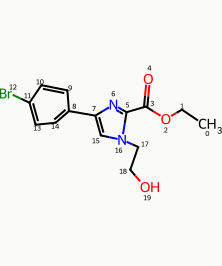 CCOC(=O)c1nc(-c2ccc(Br)cc2)cn1CCO